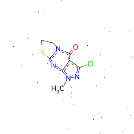 Cn1nc(Cl)c2c(=O)n3c(nc21)SCC3